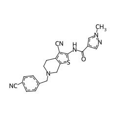 Cn1cc(C(=O)Nc2sc3c(c2C#N)CCN(Cc2ccc(C#N)cc2)C3)cn1